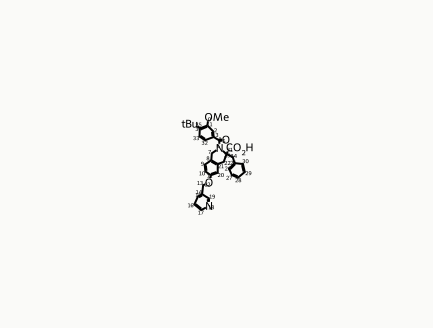 COc1cc(C(=O)N2Cc3ccc(OCc4cccnc4)cc3CC2(Cc2ccccc2)C(=O)O)ccc1C(C)(C)C